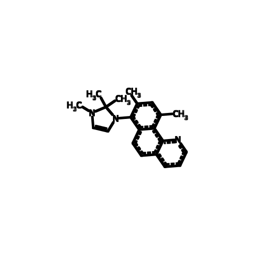 Cc1cc(C)c2c(ccc3cccnc32)c1N1C=CN(C)C1(C)C